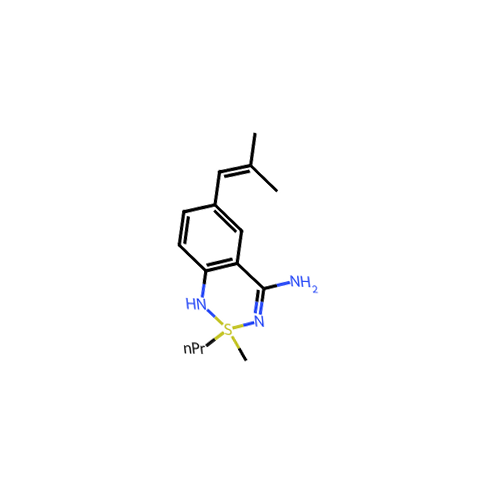 CCCS1(C)N=C(N)c2cc(C=C(C)C)ccc2N1